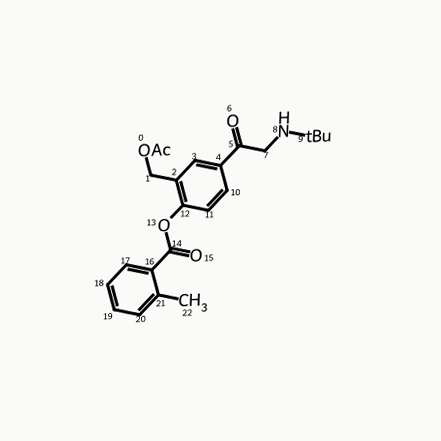 CC(=O)OCc1cc(C(=O)CNC(C)(C)C)ccc1OC(=O)c1ccccc1C